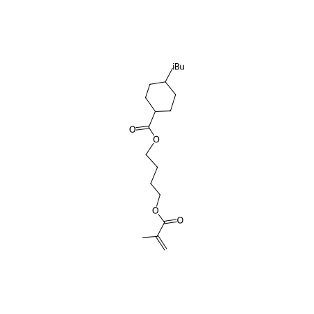 C=C(C)C(=O)OCCCCOC(=O)C1CCC(C(C)CC)CC1